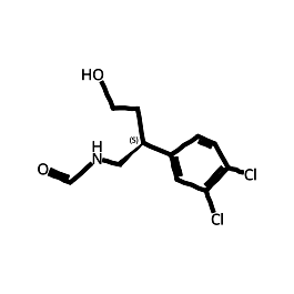 O=CNC[C@@H](CCO)c1ccc(Cl)c(Cl)c1